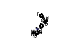 C=Nc1cc(O)c(C(N)=O)cc1/C(=C\C)Oc1ccc(NC(=O)C2(C(=O)Nc3ccc(F)cc3)CC2)cc1